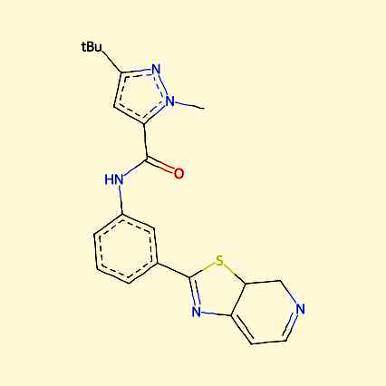 Cn1nc(C(C)(C)C)cc1C(=O)Nc1cccc(C2=NC3=CC=NCC3S2)c1